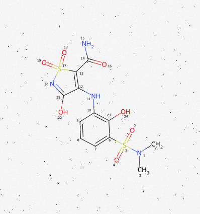 CN(C)S(=O)(=O)c1cccc(NC2=C(C(N)=O)S(=O)(=O)N=C2O)c1O